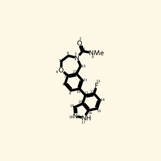 CNC(=O)N1CCOc2ccc(-c3c(F)ccc4[nH]ncc34)cc2C1